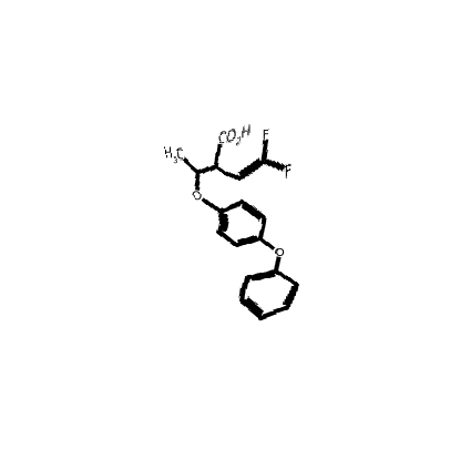 CC(Oc1ccc(Oc2ccccc2)cc1)C(C=C(F)F)C(=O)O